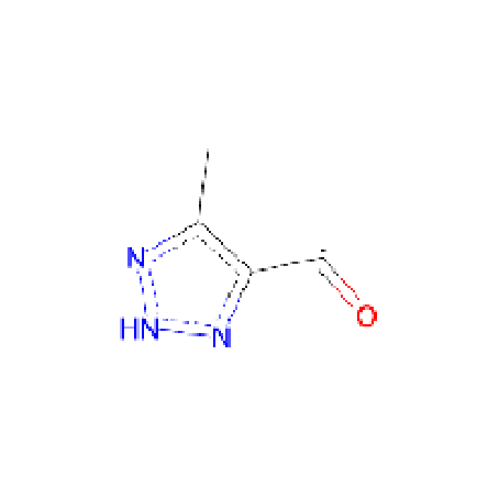 Cc1n[nH]nc1[C]=O